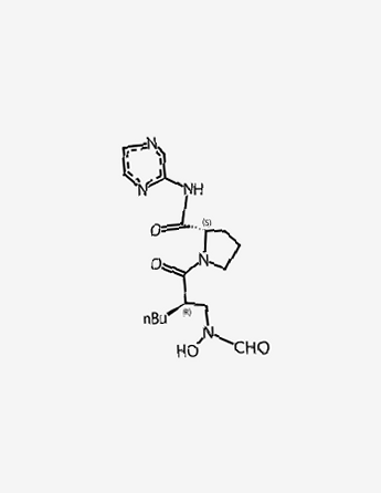 CCCC[C@H](CN(O)C=O)C(=O)N1CCC[C@H]1C(=O)Nc1cnccn1